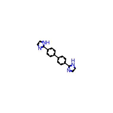 c1c[nH]c(-c2ccc(-c3ccc(-c4ncc[nH]4)cc3)cc2)n1